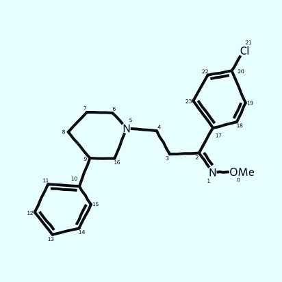 CO/N=C(/CCN1CCCC(c2ccccc2)C1)c1ccc(Cl)cc1